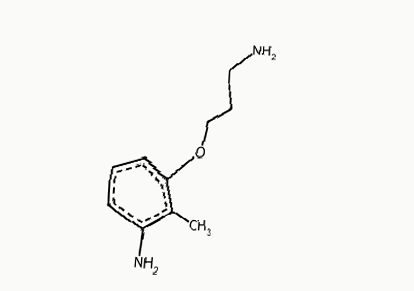 Cc1c(N)cccc1OCCCN